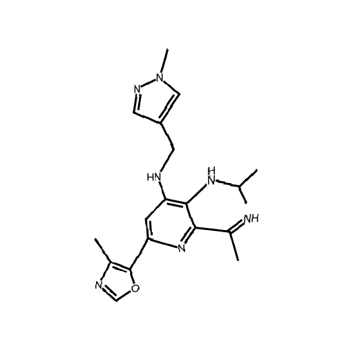 CC(=N)c1nc(-c2ocnc2C)cc(NCc2cnn(C)c2)c1NC(C)C